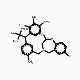 CNc1ccc(C(c2ccc(C)c(CN3Cc4cc(F)ccc4OC(C)C3)c2)C(C)(C)C(=O)O)c(C)c1N